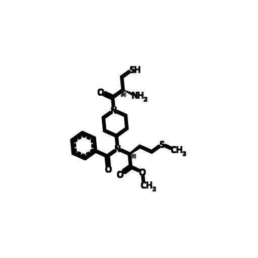 COC(=O)[C@H](CCSC)N(C(=O)c1ccccc1)C1CCN(C(=O)[C@@H](N)CS)CC1